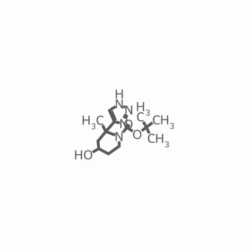 CC(C)(C)OC(=O)N1CCC(O)CC1(C)c1c[nH]nn1